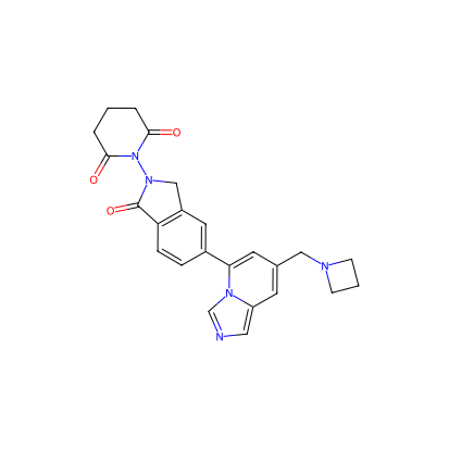 O=C1c2ccc(-c3cc(CN4CCC4)cc4cncn34)cc2CN1N1C(=O)CCCC1=O